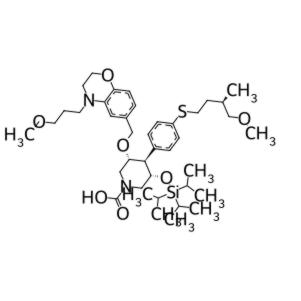 COCCCN1CCOc2ccc(CO[C@H]3CN(C(=O)O)C[C@@H](O[Si](C(C)C)(C(C)C)C(C)C)[C@@H]3c3ccc(SCC[C@@H](C)COC)cc3)cc21